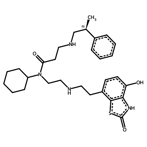 C[C@H](CNCCC(=O)N(CCNCCc1ccc(O)c2[nH]c(=O)sc12)C1CCCCC1)c1ccccc1